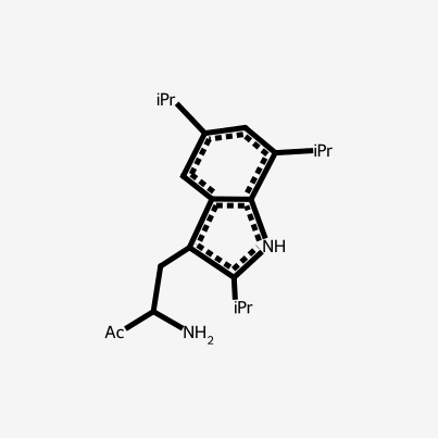 CC(=O)C(N)Cc1c(C(C)C)[nH]c2c(C(C)C)cc(C(C)C)cc12